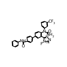 NC(=O)N(c1cccc(C(F)(F)F)c1)c1ccc(-c2ccc(C(=O)Nc3ccccc3)cc2)cc1-c1nnnn1F